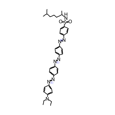 CCN(CC)c1ccc(/N=N/c2ccc(/N=N/c3ccc(/N=N/c4ccc(S(=O)(=O)NC(C)CCCC(C)C)cc4)cc3)cc2)cc1